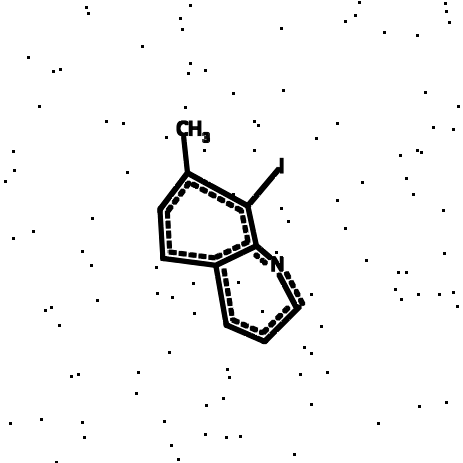 Cc1ccc2cccnc2c1I